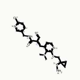 CN(C)c1c(/C=C(\C=O)C(=O)NCc2ccc(Cl)nc2)ccnc1OCC1(SN)CC1